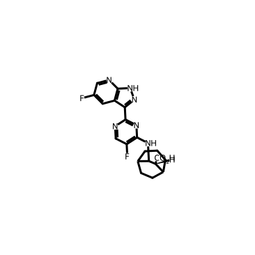 O=C(O)[C@@H]1C2CCCC(CC2)C1Nc1nc(-c2n[nH]c3ncc(F)cc23)ncc1F